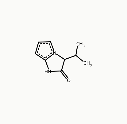 CC(C)C1C(=O)Nc2cccn21